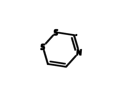 [C]1=NC=CSS1